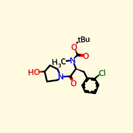 CN(C(=O)OC(C)(C)C)[C@@H](Cc1ccccc1Cl)C(=O)N1CCC(O)CC1